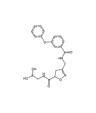 O=C(NCC1=NOC(C(=O)NCB(O)O)C1)c1cccc(Oc2ccccc2)c1